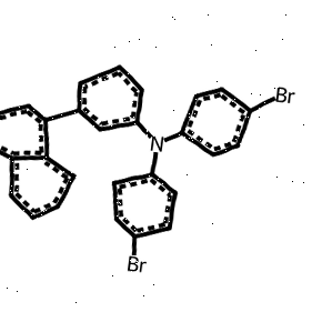 Brc1ccc(N(c2ccc(Br)cc2)c2cccc(-c3cccc4ccccc34)c2)cc1